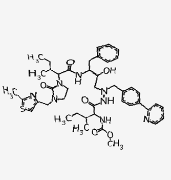 CCC(C)C(NC(=O)OC)C(=O)NN(Cc1ccc(-c2ccccn2)cc1)CC(O)C(Cc1ccccc1)NC(=O)C(C(C)CC)N1CCN(Cc2csc(C)n2)C1=O